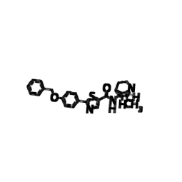 C[C@H]1[C@H](NC(=O)c2cnc(-c3ccc(OCc4ccccc4)cc3)s2)C2CCN1CC2